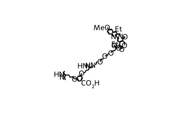 CCc1c2c(nc3ccc(OC)cc13)-c1cc3c(c(=O)n1C2)COC(=O)C3(CC)OC(=O)CCOCCOCCOCCN/C=C(/CCCOc1cc(OCCCc2c(C)n[nH]c2C)cc(C(=O)O)c1)N=N